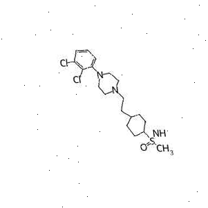 CS(=N)(=O)C1CCC(CCN2CCN(c3cccc(Cl)c3Cl)CC2)CC1